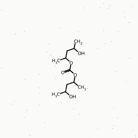 CC(O)CC(C)OC(=O)OC(C)CC(C)O